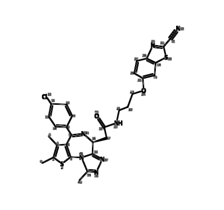 Cc1sc2c(c1C)C(c1ccc(Cl)cc1)=N[C@@H](CC(=O)NCCCOc1ccc3nc(C#N)sc3c1)c1nnc(C)n1-2